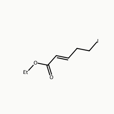 CCOC(=O)C=CCCI